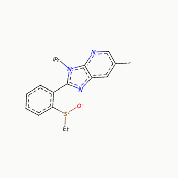 CC[S+]([O-])c1ccccc1-c1nc2cc(C)cnc2n1C(C)C